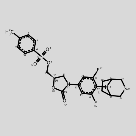 Cc1ccc(S(=O)(=O)OC[C@H]2CN(c3cc(F)c(N4C5CCC4CSC5)c(F)c3)C(=O)O2)cc1